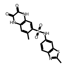 Cc1nc2ccc(NS(=O)(=O)c3cc4[nH]c(=O)c(=O)[nH]c4cc3C)cc2s1